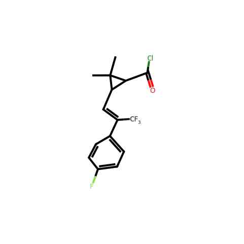 CC1(C)C(C=C(c2ccc(F)cc2)C(F)(F)F)C1C(=O)Cl